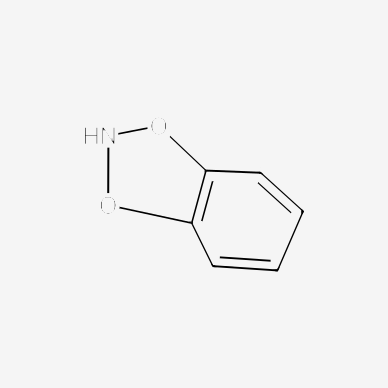 [c]1cccc2c1ONO2